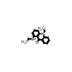 CCNc1ccccc1C(=O)c1ccccc1NCC